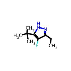 CCc1n[nH]c(C(C)(C)C)c1F